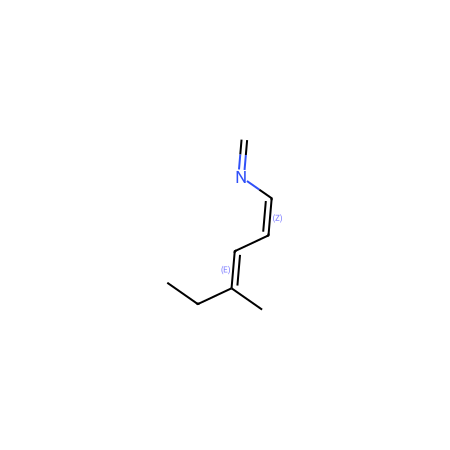 C=N/C=C\C=C(/C)CC